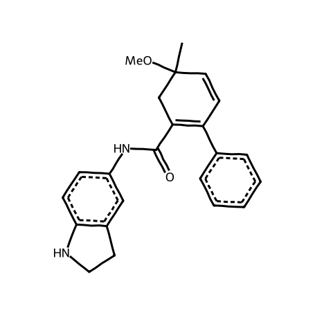 COC1(C)C=CC(c2ccccc2)=C(C(=O)Nc2ccc3c(c2)CCN3)C1